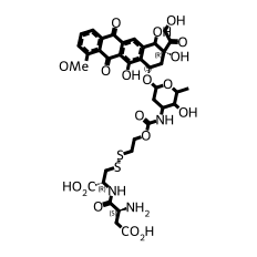 COc1cccc2c1C(=O)c1c(cc3c(c1O)[C@@H](OC1CC(NC(=O)OCCSSC[C@H](NC(=O)[C@@H](N)CC(=O)O)C(=O)O)C(O)C(C)O1)C[C@](O)(C(=O)CO)C3O)C2=O